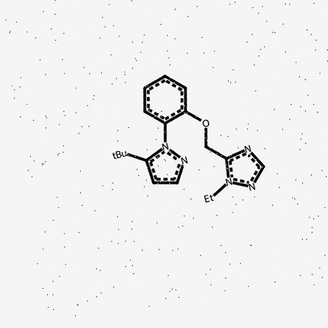 CCn1ncnc1COc1ccccc1-n1nccc1C(C)(C)C